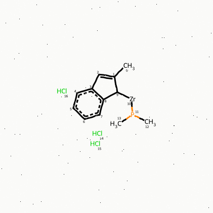 CC1=Cc2ccccc2[CH]1[Zr][P](C)C.Cl.Cl.Cl